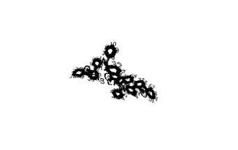 CC1(C)c2cc(N(c3ccccc3)c3cccc(-c4cccc5c4oc4ccccc45)c3)ccc2-c2c1cc(N(c1ccccc1)c1cccc(-c3cccc4c3oc3ccccc34)c1)c1ccccc21